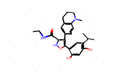 CCNC(=O)C1NOC(c2cc(C(C)C)c(O)cc2O)=C1c1ccc2c(c1)CCCN2C